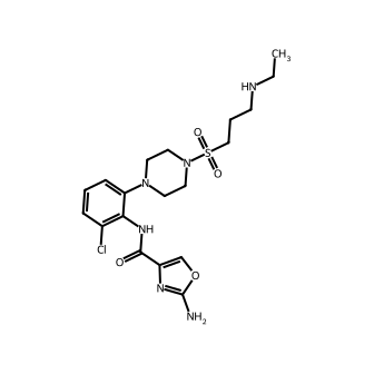 CCNCCCS(=O)(=O)N1CCN(c2cccc(Cl)c2NC(=O)c2coc(N)n2)CC1